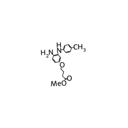 COC(=O)CCCOc1ccc(N)c(Nc2ccc(C)cc2)c1